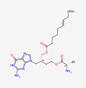 CCCCCCCCCCC/C=C/CCCCC(=O)OC[C@H](CCOC(=O)[C@@H](N)C(C)C)Cn1cnc2c(=O)[nH]c(N)nc21